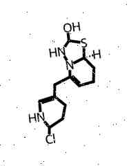 OC1NN2C(CC3=CNC(Cl)CC3)=CCC[C@@H]2S1